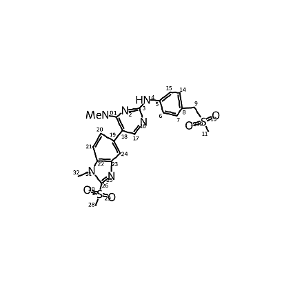 CNc1nc(Nc2ccc(CS(C)(=O)=O)cc2)ncc1-c1ccc2c(c1)nc(S(C)(=O)=O)n2C